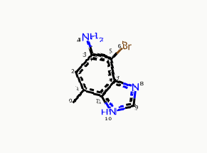 Cc1cc(N)c(Br)c2nc[nH]c12